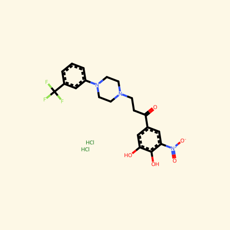 Cl.Cl.O=C(CCN1CCN(c2cccc(C(F)(F)F)c2)CC1)c1cc(O)c(O)c([N+](=O)[O-])c1